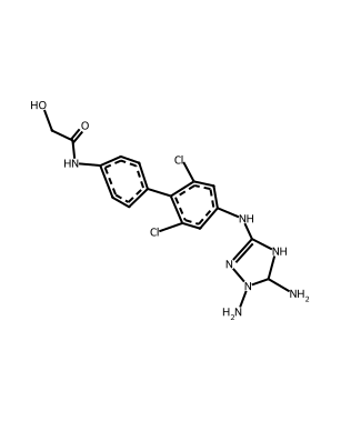 NC1NC(Nc2cc(Cl)c(-c3ccc(NC(=O)CO)cc3)c(Cl)c2)=NN1N